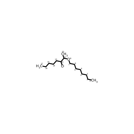 CCCCCCCCOC(C)C([O])CCCCC